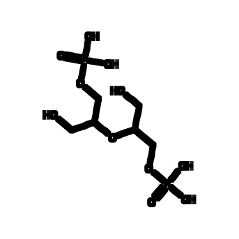 O=P(O)(O)OCC(CO)OC(CO)COP(=O)(O)O